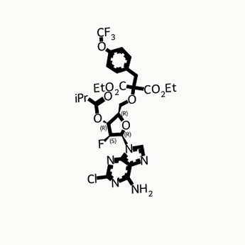 CCOC(=O)C(Cc1ccc(OC(F)(F)F)cc1)(OC[C@H]1O[C@@H](n2cnc3c(N)nc(Cl)nc32)[C@@H](F)[C@@H]1OC(=O)C(C)C)C(=O)OCC